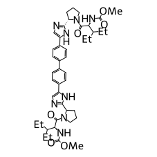 CCC(CC)[C@H](NC(=O)OC)C(=O)N1CCCC1c1ncc(-c2ccc(-c3ccc(-c4cnc([C@@H]5CCCN5C(=O)[C@@H](NC(=O)OC)C(CC)CC)[nH]4)cc3)cc2)[nH]1